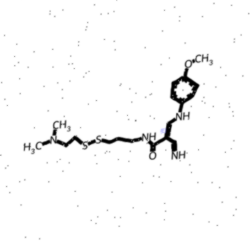 COc1ccc(N/C=C(\C=N)C(=O)NCCCSSCCN(C)C)cc1